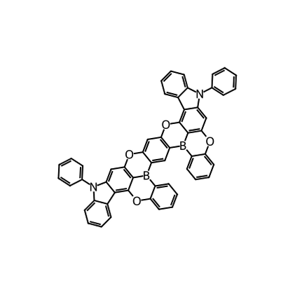 c1ccc(-n2c3ccccc3c3c4c5c(cc32)Oc2cc3c(cc2B5c2ccccc2O4)B2c4ccccc4Oc4cc5c(c(c42)O3)c2ccccc2n5-c2ccccc2)cc1